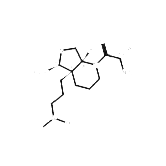 CB(O)CCC[C@]12CCCN(C(=O)[C@H](C)N)[C@H]1CN[C@@H]2C(=O)O